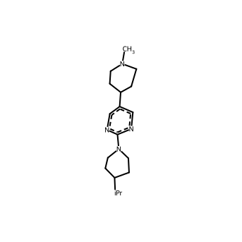 CC(C)C1CCN(c2ncc(C3CCN(C)CC3)cn2)CC1